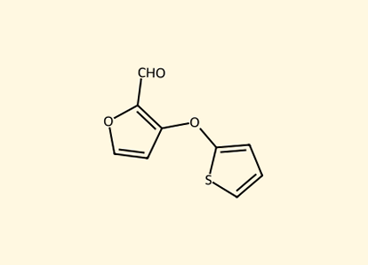 O=Cc1occc1Oc1cccs1